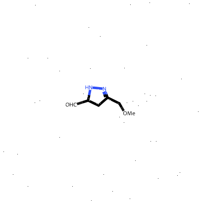 COCC1=NNC(C=O)C1